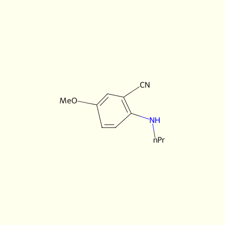 CCCNc1ccc(OC)cc1C#N